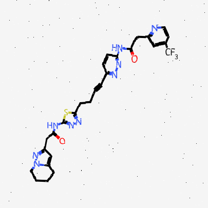 O=C(Cc1cc(C(F)(F)F)ccn1)Nc1ccc(C#CCCc2nnc(NC(=O)Cc3cc4n(n3)CCCC4)s2)nn1